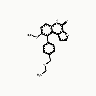 CCNCc1ccc(-c2c(OC)ccc3[nH]c(=O)c4sccc4c23)cc1